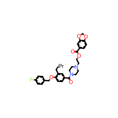 CC(C)Cc1cc(C(=O)N2CCN(CCOC(=O)c3ccc4c(c3)OCO4)CC2)ccc1OCc1ccc(F)cc1